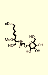 CCCCCCCCCCCCC/C=C/[C@H](OC)[C@H](CO)NC(=O)CO[C@H]1OC(CO)[C@H](O)C(O)C1O